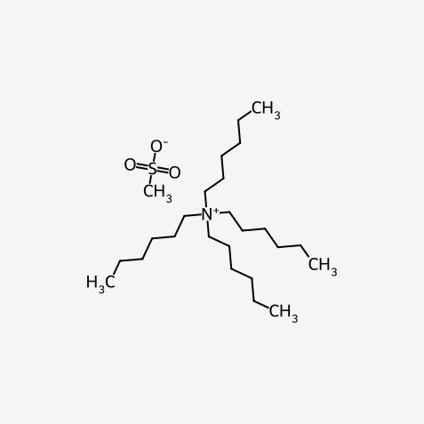 CCCCCC[N+](CCCCCC)(CCCCCC)CCCCCC.CS(=O)(=O)[O-]